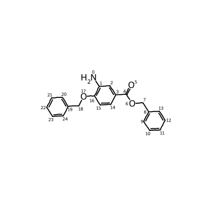 Nc1cc(C(=O)OCc2ccccc2)ccc1OCc1ccccc1